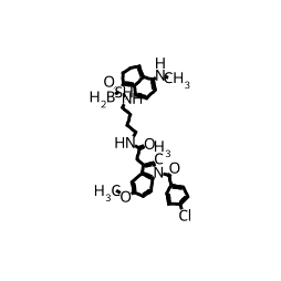 B[SH](=O)(NCCCCNC(=O)Cc1c(C)n(C(=O)c2ccc(Cl)cc2)c2ccc(OC)cc12)C1=c2cccc(NC)c2=CCC1